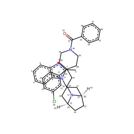 Cc1nc2ccccc2n1C1C[C@H]2CC[C@@H](C1)N2CCC1(c2cccc(Cl)c2)CCN(C(=O)c2ccccc2)CC1